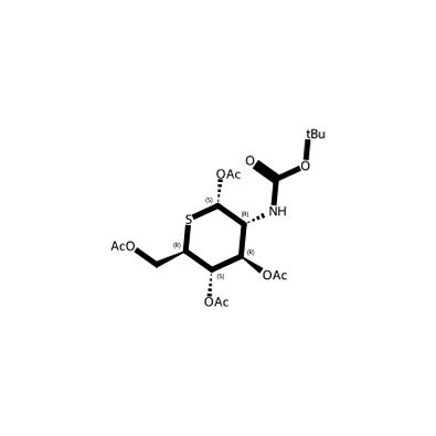 CC(=O)OC[C@H]1S[C@H](OC(C)=O)[C@H](NC(=O)OC(C)(C)C)[C@@H](OC(C)=O)[C@@H]1OC(C)=O